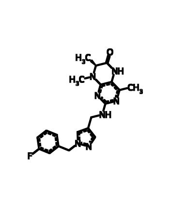 Cc1nc(NCc2cnn(Cc3cccc(F)c3)c2)nc2c1NC(=O)[C@H](C)N2C